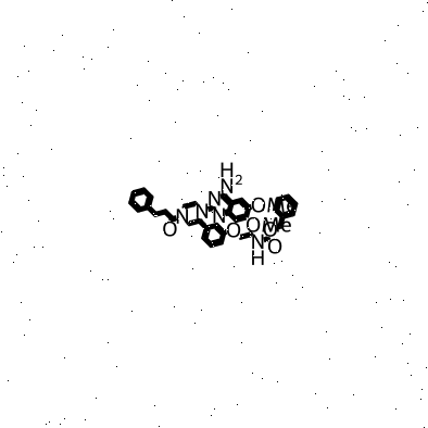 COc1cc2nc(N3CCN(C(=O)CCc4ccccc4)CC3c3cccc(OCCNC(=O)OCc4ccccc4)c3)nc(N)c2cc1OC